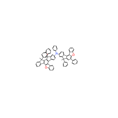 CC1(c2ccccc2)c2cc(N(c3ccccc3)c3ccc4c(c3)C(C)(c3ccccc3)c3c5c(c6oc7ccccc7c6c3-4)-c3ccccc3C5(C)c3ccccc3)ccc2-c2c1cc(-c1ccccc1)c1oc3ccccc3c21